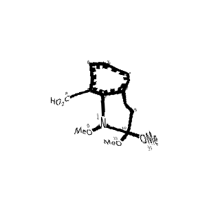 CON1c2c(cccc2C(=O)O)CC1(OC)OC